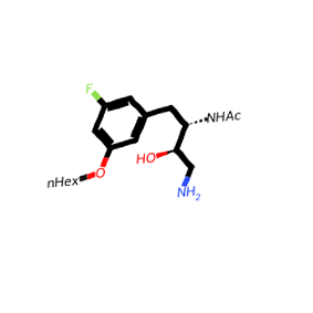 CCCCCCOc1cc(F)cc(C[C@H](NC(C)=O)[C@H](O)CN)c1